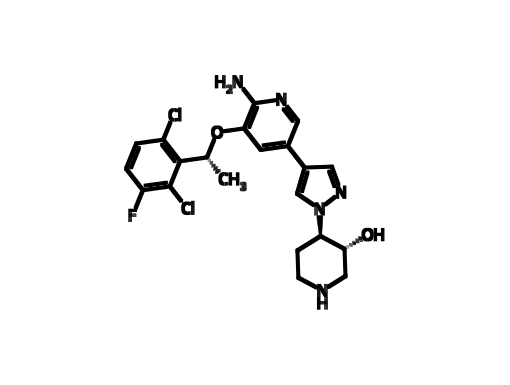 C[C@@H](Oc1cc(-c2cnn([C@@H]3CCNC[C@H]3O)c2)cnc1N)c1c(Cl)ccc(F)c1Cl